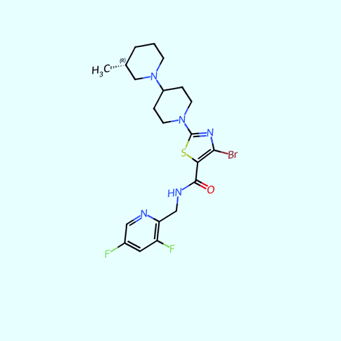 C[C@@H]1CCCN(C2CCN(c3nc(Br)c(C(=O)NCc4ncc(F)cc4F)s3)CC2)C1